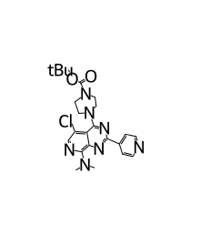 CN(C)c1ncc(Cl)c2c(N3CCN(C(=O)OC(C)(C)C)CC3)nc(-c3ccncc3)nc12